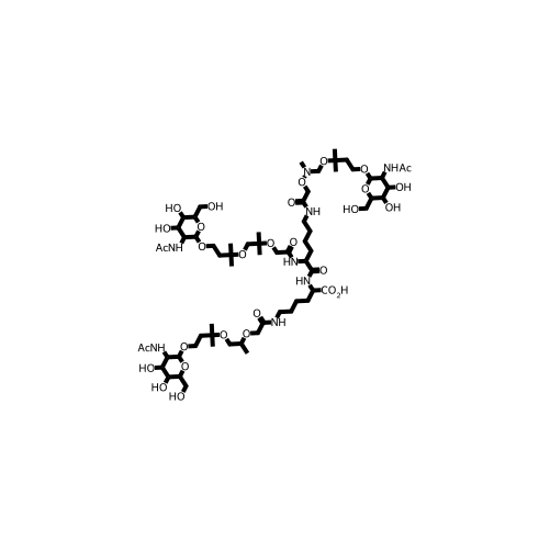 CC(=O)NC1C(OCCC(C)(C)OCC(C)OCC(=O)NCCCCC(NC(=O)C(CCCCNC(=O)CON(C)COC(C)(C)CCOC2OC(CO)C(O)C(O)C2NC(C)=O)NC(=O)COC(C)(C)COC(C)(C)CCOC2OC(CO)C(O)C(O)C2NC(C)=O)C(=O)O)OC(CO)C(O)C1O